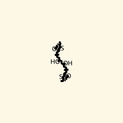 CCN1CC(=O)N(CCC(C)(C)CCC(O)CCC(O)CCC(C)(C)CCN2C(=O)CN(CC)C2=S)C1=S